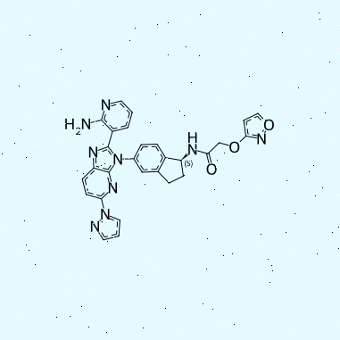 Nc1ncccc1-c1nc2ccc(-n3cccn3)nc2n1-c1ccc2c(c1)CC[C@@H]2NC(=O)COc1ccon1